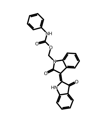 O=C(Nc1ccccc1)OCN1C(=O)/C(=C2\Nc3ccccc3C2=O)c2ccccc21